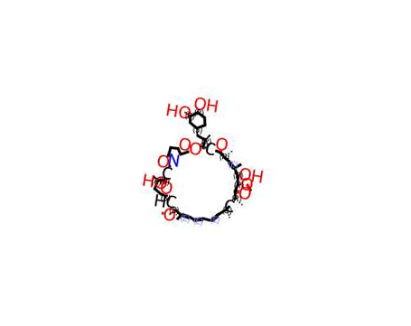 CO[C@H]1C[C@@H]2CC[C@@H](C)[C@](O)(CC(=O)N3CCCC3C(=O)O[C@H]([C@H](C)C[C@@H]3CC[C@@H](O)[C@H](O)C3)CC(=O)[C@H](C)/C=C(\C)[C@@H](O)[C@@H](OC)C(=O)[C@H](C)C[C@H](C)/C=C/C=C/C=C/1C)O2